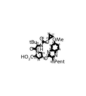 CCCCCc1nc2ccc(OC)cc2nc1O[C@@H]1C[C@@H](C(=O)O)N(C(=O)[C@@H](NC(=O)OC2CC2)C(C)(C)C)C1